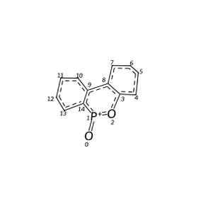 O=[p+]1oc2ccccc2c2ccccc21